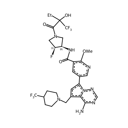 CCC(O)(C(=O)N1C[C@H](F)[C@H](NC(=O)c2cc(-c3cc(CN4CCC(C(F)(F)F)CC4)c4c(N)ncnn34)cnc2OC)C1)C(F)(F)F